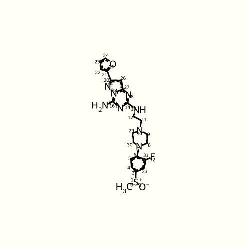 C[S+]([O-])c1ccc(N2CCN(CCNc3nc(N)n4nc(-c5ccco5)cc4n3)CC2)c(F)c1